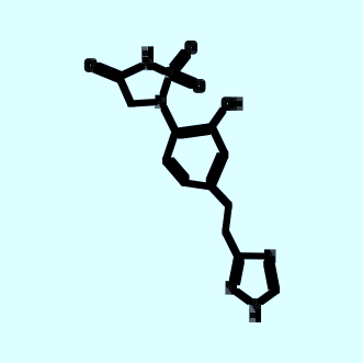 O=C1CN(c2ccc(CCc3nc[nH]n3)cc2O)S(=O)(=O)N1